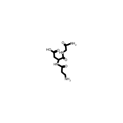 NCCC(=O)NC(CC(=O)O)C(=O)NCC(N)=O